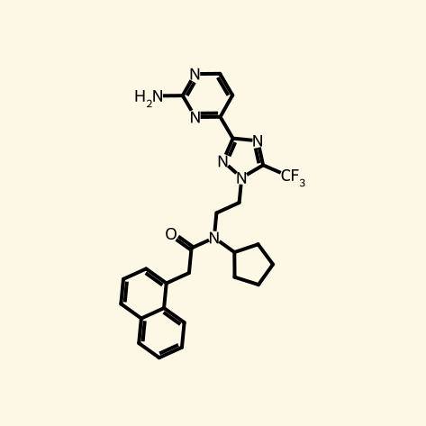 Nc1nccc(-c2nc(C(F)(F)F)n(CCN(C(=O)Cc3cccc4ccccc34)C3CCCC3)n2)n1